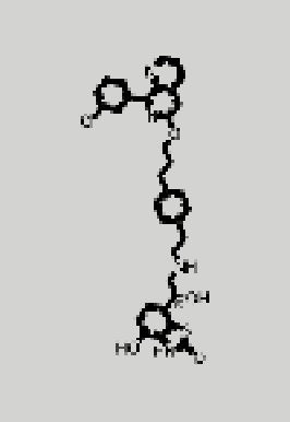 O=c1[nH]c2c(O)ccc([C@@H](O)CNCCc3ccc(CCCOc4cc5cccnc5c(-c5cccc(Cl)c5)n4)cc3)c2s1